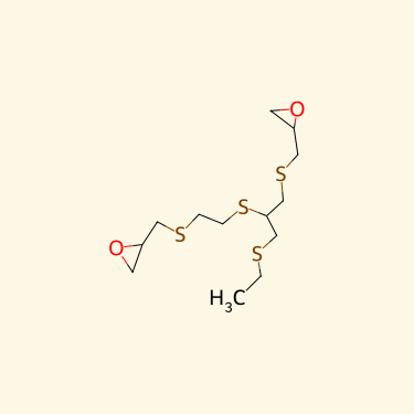 CCSCC(CSCC1CO1)SCCSCC1CO1